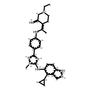 CCN1CC/C(=C(\C)Nc2ccc(-c3nc(Nc4ccc5[nH]ncc5c4C4CC4)n(C)n3)cc2)C(=N)C1